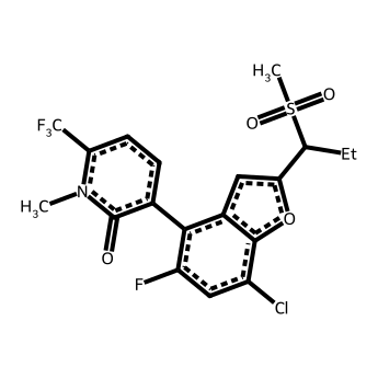 CCC(c1cc2c(-c3ccc(C(F)(F)F)n(C)c3=O)c(F)cc(Cl)c2o1)S(C)(=O)=O